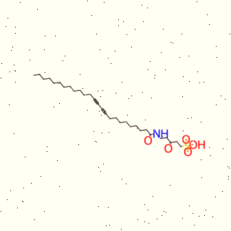 CCCCCCCCCCCCC#CC#CCCCCCCCCC(=O)NCCC(=O)CCS(=O)(=O)O